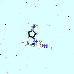 CC(C)N1CCC(N(C)SON)C1.S